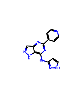 c1cc(-c2nc(Nc3cc[nH]n3)c3[nH]ncc3n2)ccn1